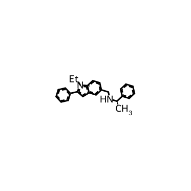 CCn1c(-c2ccccc2)cc2cc(CN[C@H](C)c3ccccc3)ccc21